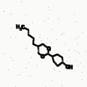 CCCCCC1COC(C2CCC(O)CC2)OC1